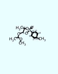 COC(C)OCC(C)OS(=O)(=O)c1ccc(C)cc1